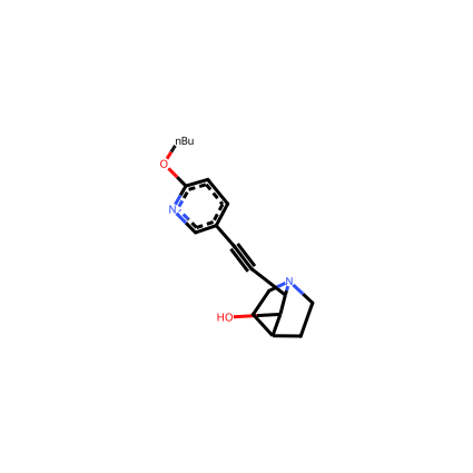 CCCCOc1ccc(C#CC2C(O)C3CCN2CC3)cn1